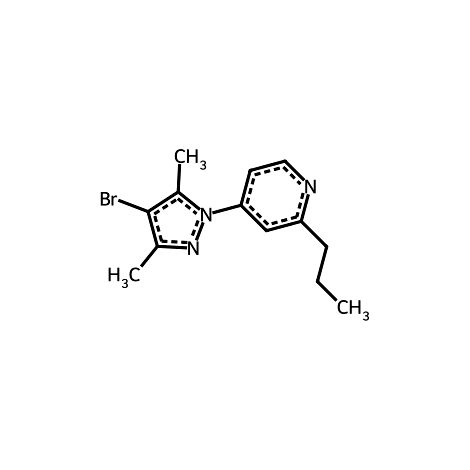 CCCc1cc(-n2nc(C)c(Br)c2C)ccn1